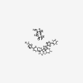 Cc1nnc(-c2ccc(N3CCC[C@H](C4(N)CCCCC4Nc4ncc(-c5ccccc5)o4)C3)cc2)o1.O=C(O)C(F)(F)F.O=C(O)C(F)(F)F